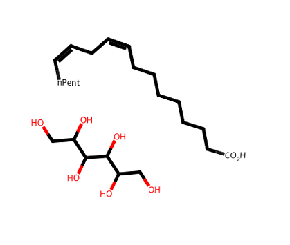 CCCCC/C=C\C/C=C\CCCCCCCC(=O)O.OCC(O)C(O)C(O)C(O)CO